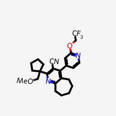 COCC1(c2nc3c(c(-c4ccnc(OCC(F)(F)F)c4)c2C#N)CCCCC3)CCCC1